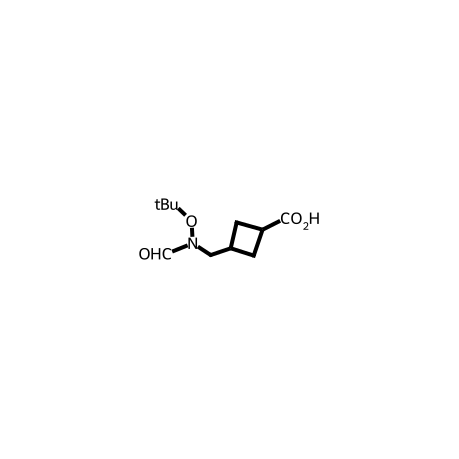 CC(C)(C)ON(C=O)CC1CC(C(=O)O)C1